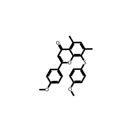 COc1ccc(Sc2c(C)cc(C)c3c(=O)cc(-c4ccc(OC)cc4)oc23)cc1